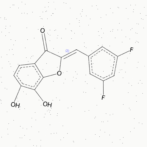 O=C1/C(=C/c2cc(F)cc(F)c2)Oc2c1ccc(O)c2O